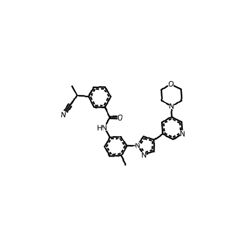 Cc1ccc(NC(=O)c2cccc(C(C)C#N)c2)cc1-n1cc(-c2cncc(N3CCOCC3)c2)cn1